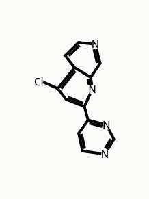 Clc1cc(-c2ccncn2)nc2cnccc12